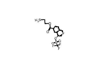 O=C(OCC[SiH3])c1ccc2cncc(OS(=O)(=O)C(F)(F)F)c2c1